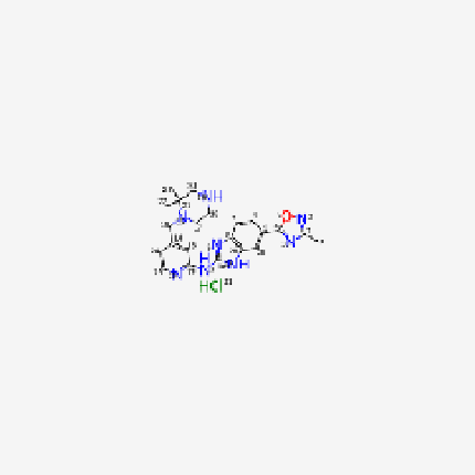 Cc1noc(-c2ccc3nc(Nc4cc(CN5CCNCC5(C)C)ccn4)[nH]c3c2)n1.Cl